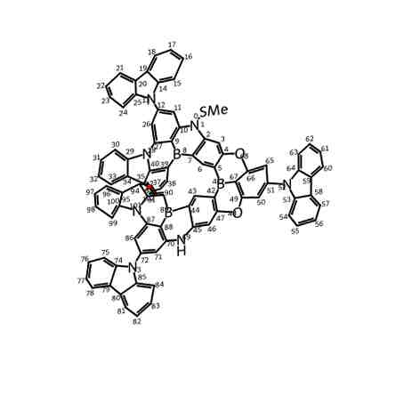 CSN1c2cc3c(cc2B2c4c1cc(-n1c5ccccc5c5ccccc51)cc4-n1c4ccccc4c4cccc2c41)B1c2cc4c(cc2Oc2cc(-n5c6ccccc6c6ccccc65)cc(c21)O3)Nc1cc(-n2c3ccccc3c3ccccc32)cc2c1B4c1cccc3c4ccccc4n-2c13